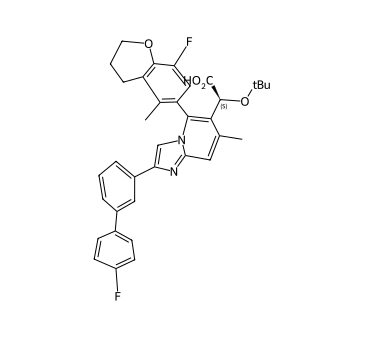 Cc1cc2nc(-c3cccc(-c4ccc(F)cc4)c3)cn2c(-c2cc(F)c3c(c2C)CCCO3)c1[C@H](OC(C)(C)C)C(=O)O